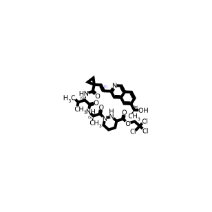 CC(C)[C@H](NC(=O)C1(/C=C/c2cc3cc([C@@H](C)O)ccc3cn2)CC1)C(=O)N[C@@H](C)C(=O)N1CCCC(C(=O)OCC(Cl)(Cl)Cl)N1